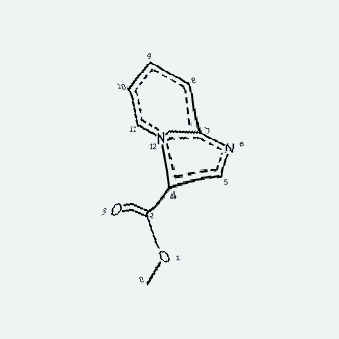 COC(=O)c1cnc2ccccn12